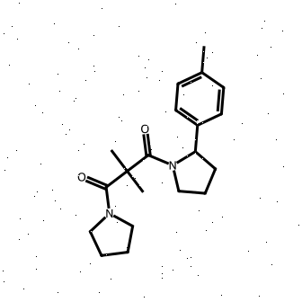 Cc1ccc(C2CCCN2C(=O)C(C)(C)C(=O)N2CCCC2)cc1